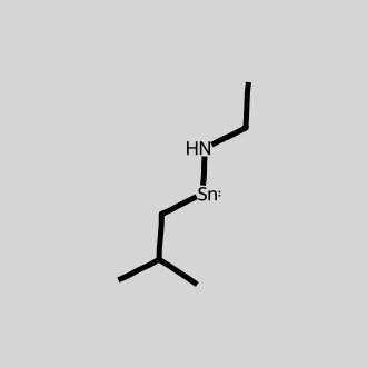 CC[NH][Sn][CH2]C(C)C